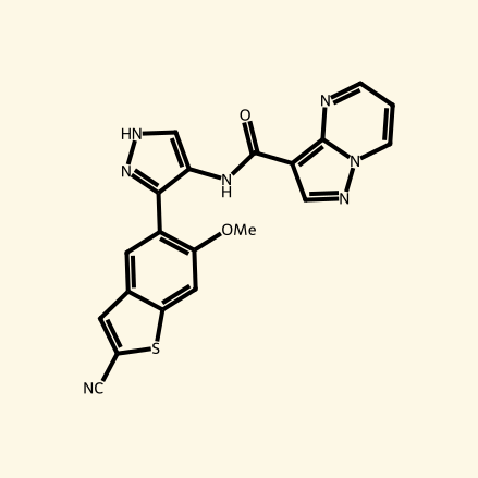 COc1cc2sc(C#N)cc2cc1-c1n[nH]cc1NC(=O)c1cnn2cccnc12